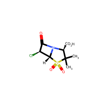 CC1(C)[C@H](C(=O)O)N2C(=O)[C@H](Cl)[C@H]2S1(=O)=O